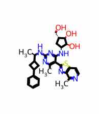 Cc1nc(N[C@H](C)C2CC(c3ccccc3)C2)nc(N[C@@H]2C[C@H](CO)[C@@H](O)[C@H]2O)c1-c1nc2c(C)nccc2s1